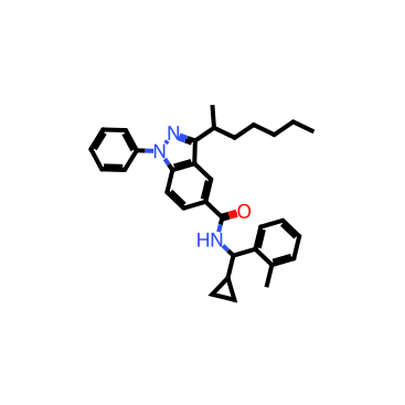 CCCCCC(C)c1nn(-c2ccccc2)c2ccc(C(=O)NC(c3ccccc3C)C3CC3)cc12